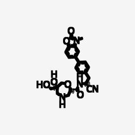 Cn1c(=O)oc2ccc(-c3ccc(C[C@@H](C#N)NC(=O)[C@@H]4CNC[C@@](O)(CO)CO4)cc3)cc21